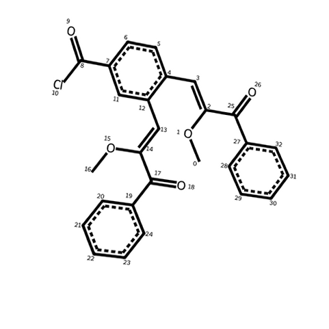 COC(=Cc1ccc(C(=O)Cl)cc1C=C(OC)C(=O)c1ccccc1)C(=O)c1ccccc1